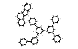 c1ccc(-c2cccc(-c3nc(-c4cc(-c5ccccc5)cc(-c5ccccc5)c4)nc(-c4cccc(-c5cccc6ccc7c8ccccc8oc7c56)c4)n3)c2)cc1